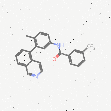 Cc1ccc(NC(=O)c2cccc(C(F)(F)F)c2)cc1-c1cccc2cnccc12